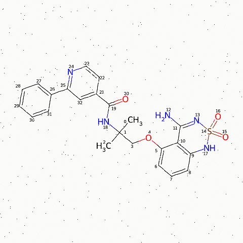 CC(C)(COc1cccc2c1C(N)=NS(=O)(=O)N2)NC(=O)c1ccnc(-c2ccccc2)c1